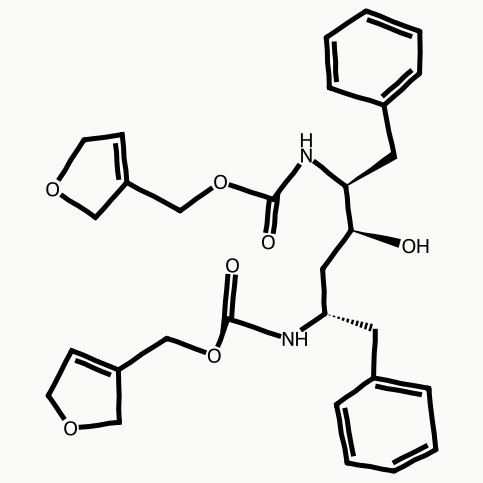 O=C(N[C@@H](Cc1ccccc1)C[C@H](O)[C@H](Cc1ccccc1)NC(=O)OCC1=CCOC1)OCC1=CCOC1